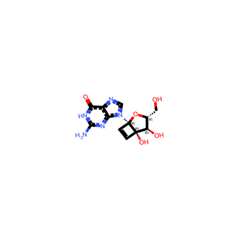 Nc1nc2c(ncn2[C@@]23C=C[C@@]2(O)[C@H](O)[C@@H](CO)O3)c(=O)[nH]1